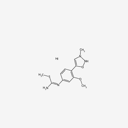 COc1cc(N=C(N)SC)ccc1C1=CN(C)NO1.I